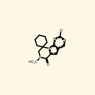 O=C(O)N1CC2(CCCCC2)n2c(cc3cnc(Cl)nc32)C1=O